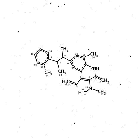 C=C/C=C(/C(=C)Nc1ccc(C(C)C(C)c2ccccc2C)cc1C)N(C)C